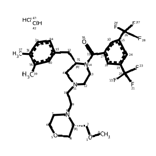 COC[C@@H]1COCCN1CCN1CCN(C(=O)c2cc(C(F)(F)F)cc(C(F)(F)F)c2)[C@H](Cc2ccc(C)c(C)c2)C1.Cl.Cl